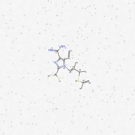 C=Cc1c(C(=N)N)nc(C(F)F)n1/C=C(\C)C(C)SC(=C)C